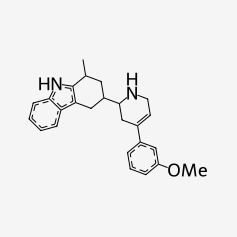 COc1cccc(C2=CCNC(C3Cc4c([nH]c5ccccc45)C(C)C3)C2)c1